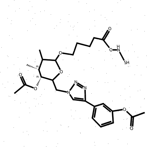 CC(=O)Oc1cccc(-c2cn(CC3OC(OCCCCC(=O)ONS)C(C)[C@@H](C)[C@H]3OC(C)=O)nn2)c1